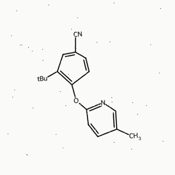 Cc1ccc(Oc2ccc(C#N)cc2C(C)(C)C)nc1